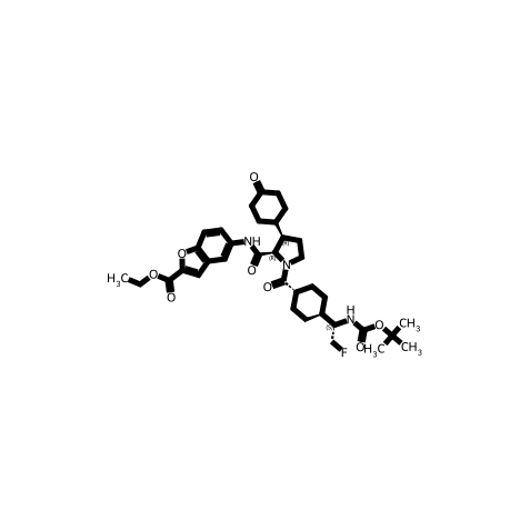 CCOC(=O)c1cc2cc(NC(=O)[C@H]3[C@@H](C4CCC(=O)CC4)CCN3C(=O)[C@H]3CC[C@H]([C@@H](CF)NC(=O)OC(C)(C)C)CC3)ccc2o1